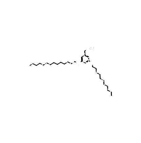 CCCCCCCCCCCCCCOc1cc(CO)cc(OCCCCCCCCCCC)c1